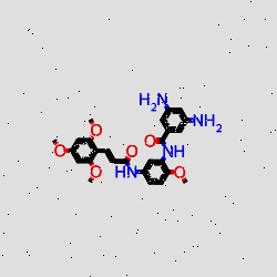 COc1cc(OC)c(/C=C/C(=O)Nc2ccc(OC)c(NC(=O)c3cc(N)cc(N)c3)c2)c(OC)c1